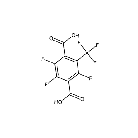 O=C(O)c1c(F)c(F)c(C(=O)O)c(C(F)(F)F)c1F